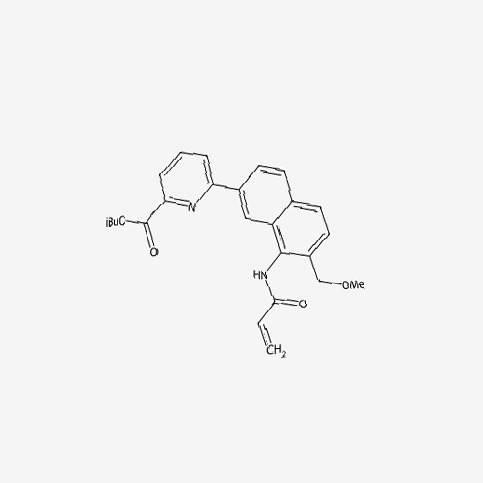 C=CC(=O)Nc1c(COC)ccc2ccc(-c3cccc(C(=O)OCC(C)C)n3)cc12